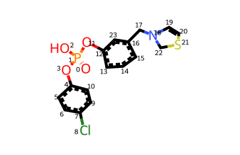 O=P(O)(Oc1ccc(Cl)cc1)Oc1cccc(CN2C=CSC2)c1